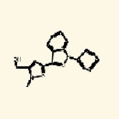 Cn1nc(-c2nn(-c3ccccc3)c3ccccc23)cc1CO